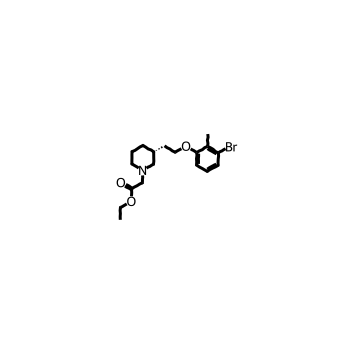 CCOC(=O)CN1CCC[C@H](CCOc2cccc(Br)c2C)C1